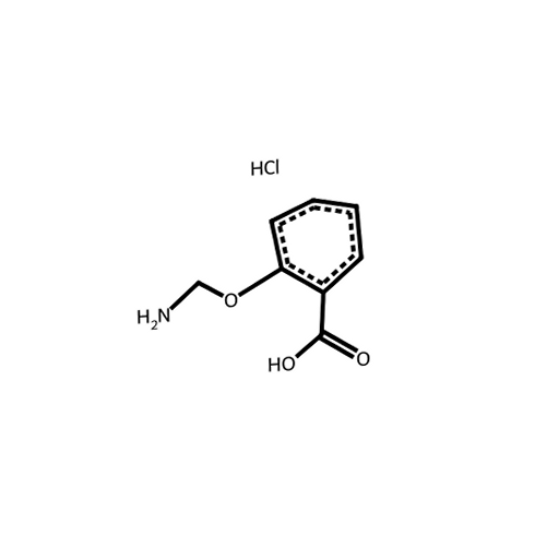 Cl.NCOc1ccccc1C(=O)O